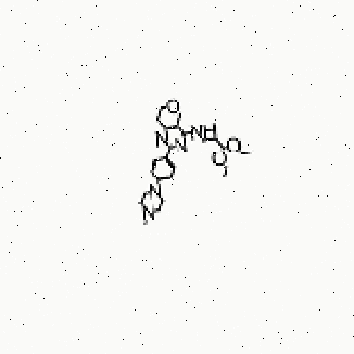 CCOC(CCNc1nc(-c2ccc(N3CCN(C)CC3)cc2)nc2c1COCC2)OCC